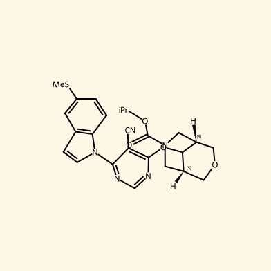 CSc1ccc2c(ccn2-c2ncnc(OC3[C@@H]4COC[C@H]3CN(C(=O)OC(C)C)C4)c2C#N)c1